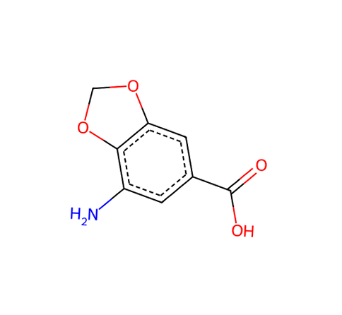 Nc1cc(C(=O)O)cc2c1OCO2